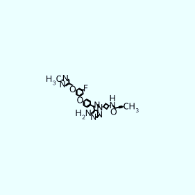 CC#CC(=O)N[C@H]1C[C@@H](n2nc(-c3ccc(Oc4cc(F)cc(OCc5cnc(C)nc5)c4)cc3)c3c(N)ncnc32)C1